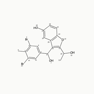 Cc1c(Br)cc(C(O)c2c(C(C)O)oc3ccc(O)cc23)cc1Br